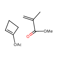 C=C(C)C(=O)OC.CC(=O)OC1=CCC1